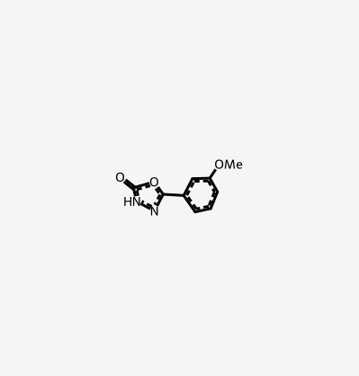 COc1cccc(-c2n[nH]c(=O)o2)c1